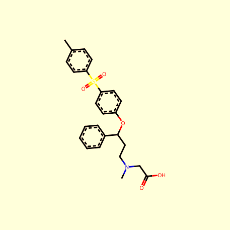 Cc1ccc(S(=O)(=O)c2ccc(OC(CCN(C)CC(=O)O)c3ccccc3)cc2)cc1